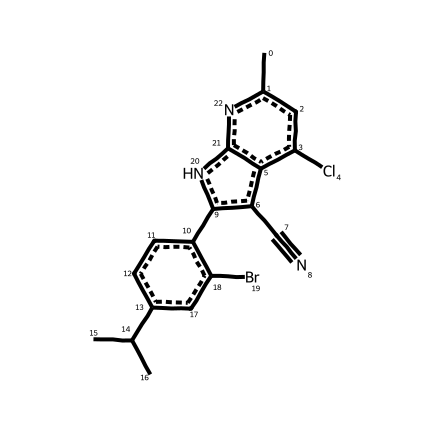 Cc1cc(Cl)c2c(C#N)c(-c3ccc(C(C)C)cc3Br)[nH]c2n1